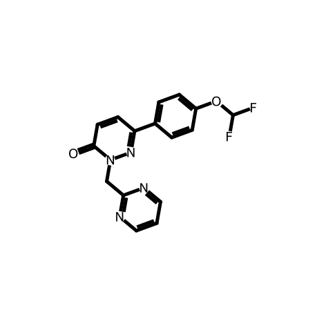 O=c1ccc(-c2ccc(OC(F)F)cc2)nn1Cc1ncccn1